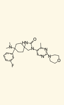 Cc1nc(N2CCOCC2)ncc1N1CC2(CCC(c3cccc(F)c3)(N(C)C)CC2)NC1=O